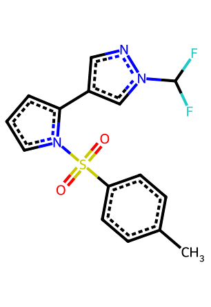 Cc1ccc(S(=O)(=O)n2cccc2-c2cnn(C(F)F)c2)cc1